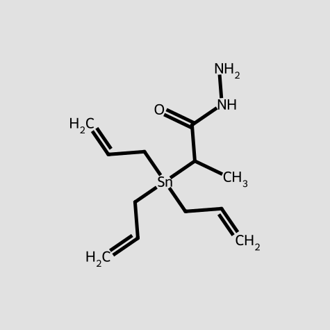 C=C[CH2][Sn]([CH2]C=C)([CH2]C=C)[CH](C)C(=O)NN